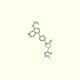 COC(=O)C1CC(=O)N(c2ccc(-c3ccc(OC)c4cnccc34)cc2)C1